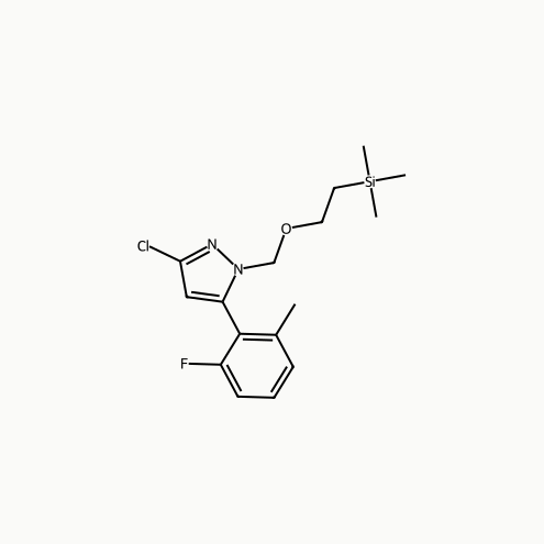 Cc1cccc(F)c1-c1cc(Cl)nn1COCC[Si](C)(C)C